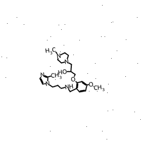 COc1ccc(CNCCCn2ccnc2C)c(OCC(O)CN2CCN(C)CC2)c1